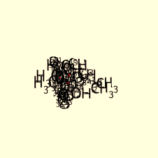 CC(C)=CCCC1(C)C=Cc2c(O)c3c(c(CC=C(C)C)c2O1)OC12C(C3=O)C(N3CCOCC3)C3CC1C(C)(C)OC2(C/C=C(/C)C(=O)N1CCOCC1)C3=O